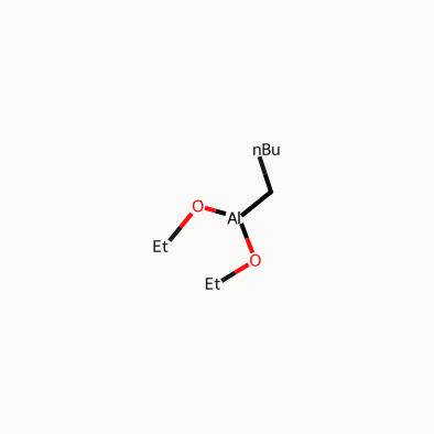 CCCC[CH2][Al]([O]CC)[O]CC